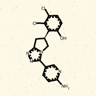 Nc1ccc(-c2nnc3n2C[C@H](c2c(O)ccc(Cl)c2Cl)C3)cn1